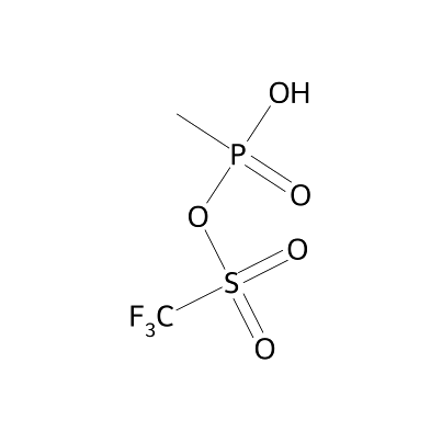 CP(=O)(O)OS(=O)(=O)C(F)(F)F